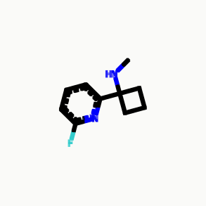 CNC1(c2cccc(F)n2)CCC1